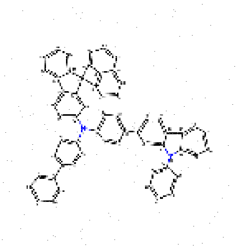 c1ccc(-c2ccc(N(c3ccc(-c4ccc5c6ccccc6n(-c6ccccc6)c5c4)cc3)c3ccc4c(c3)C3(c5ccccc5-4)c4cccc5cccc3c45)cc2)cc1